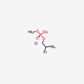 CCCCOP(=O)(O)OCC(CC)CCCC.[Cr]